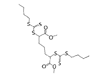 CCCCSC(=S)SC(CCCC(SC(=S)SCCCC)C(=O)OC)C(=O)OC